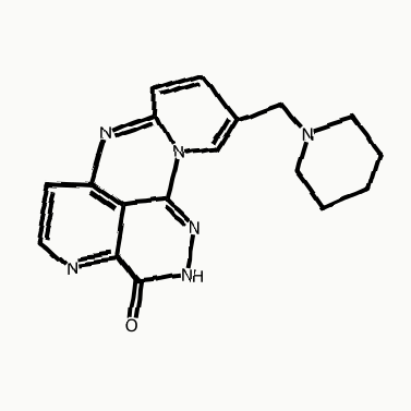 O=c1[nH]nc2c3c(ccnc13)N=C1C=CC(CN3CCCCC3)=CN12